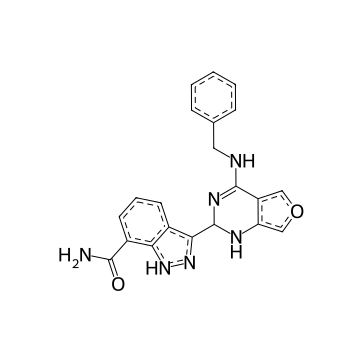 NC(=O)c1cccc2c(C3N=C(NCc4ccccc4)c4cocc4N3)n[nH]c12